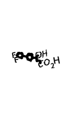 O=C(O)CCC(O)c1ccc(-c2ccc(F)c(F)c2)cc1